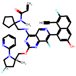 C#Cc1c(F)ccc2cc(O)cc(-c3ncc4c(NCC5(N(C)C(=O)C=C)CCCC5)nc(OC[C@]5(C)C[C@@H](F)CN5c5ccccn5)nc4c3F)c12